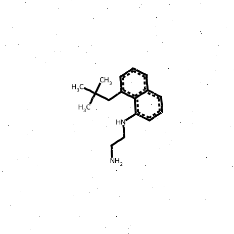 CC(C)(C)Cc1cccc2cccc(NCCN)c12